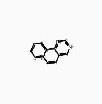 [c]1cc2cncnc2c2ccccc12